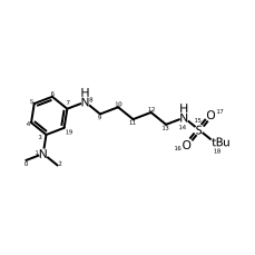 CN(C)c1cccc(NCCCCCNS(=O)(=O)C(C)(C)C)c1